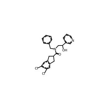 O=C(C1Cc2cc(Cl)c(Cl)cc2C1)N(Cc1ccccc1)CC(O)c1cccnc1